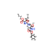 CCCCOC(=O)c1nc(N2CC[C@@H](NC(=O)OCc3ccccc3)[C@@H](OC)C2)oc1CCC